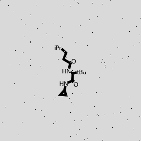 CC(C)CCC(=O)NC(C(=O)NC1CC1)C(C)(C)C